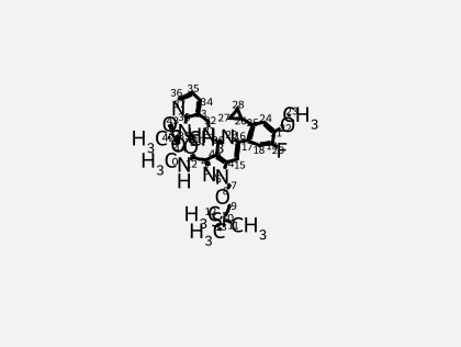 CNC(=O)c1nn(COC[Si](C)(C)C)c2cc(-c3cc(F)c(OC)cc3C3CC3)nc(NCc3cccnc3N(C)S(C)(=O)=O)c12